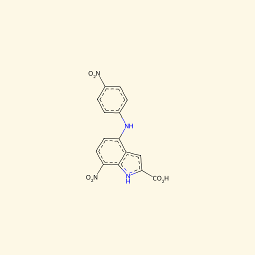 O=C(O)c1cc2c(Nc3ccc([N+](=O)[O-])cc3)ccc([N+](=O)[O-])c2[nH]1